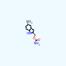 NC(=O)OCc1cc2cc([N+](=O)[O-])ccc2[nH]1